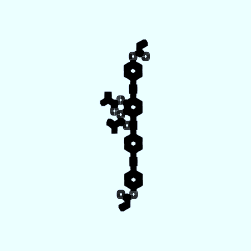 C=CC(=O)Oc1ccc(C#Cc2ccc(C#Cc3ccc(C#Cc4ccc(OC(=O)C=C)cc4)c(OC(=O)C(=C)C)c3OC(=O)C(=C)C)cc2)cc1